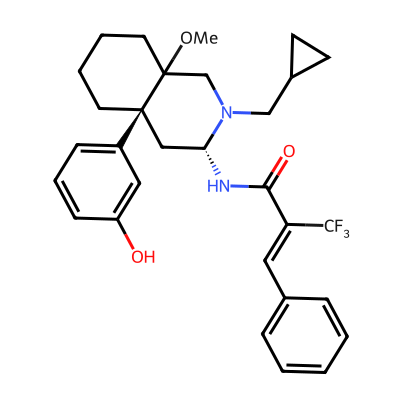 COC12CCCC[C@@]1(c1cccc(O)c1)C[C@@H](NC(=O)C(=Cc1ccccc1)C(F)(F)F)N(CC1CC1)C2